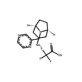 NC1C[C@H]2CC[C@@H](C1)N2Cc1cnccn1.O=C(O)C(F)(F)F